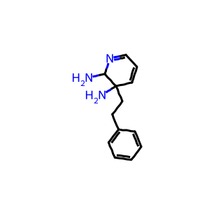 NC1N=CC=CC1(N)CCc1ccccc1